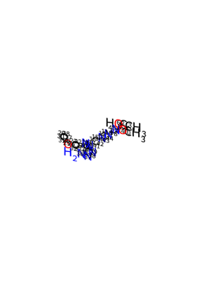 CC(C)(C)OC(=O)N1CC(N2CCN(C3CCC(n4nc(-c5ccc(Oc6ccccc6)cc5)c5c(N)ncnc54)CC3)CC2)C1